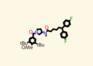 COc1c(C(C)(C)C)cc(C(=O)N2CC[C@H](N(C)C(=O)CCCCC(c3ccc(F)cc3)c3ccc(F)cc3)C2)cc1C(C)(C)C